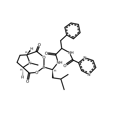 CC(C)C[C@H](NC(=O)C(Cc1ccccc1)NC(=O)c1cnccn1)B1OC(=O)[C@H]2CC[C@H](C(=O)O1)N2C